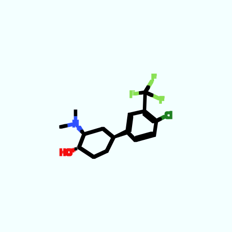 CN(C)[C@H]1C[C@@H](c2ccc(Cl)c(C(F)(F)F)c2)CC[C@@H]1O